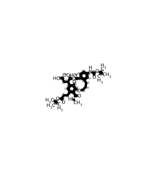 CNC(=O)c1c(CCC(=O)OC(C)(C)C)cc(C(CC(=O)O)C(=O)O)c2c1OCCCc1cc(NC(=O)OC(C)(C)C)ccc1C(=O)O2